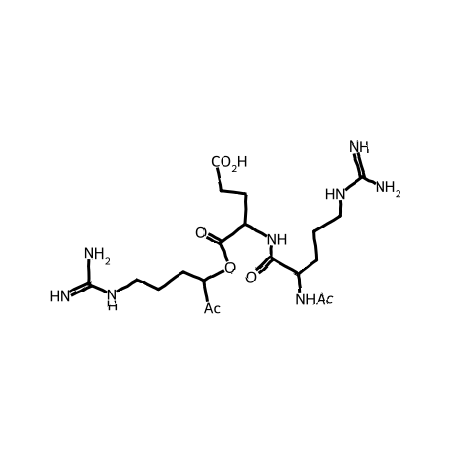 CC(=O)NC(CCCNC(=N)N)C(=O)NC(CCC(=O)O)C(=O)OC(CCCNC(=N)N)C(C)=O